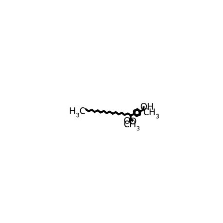 CCCCCCCCCCCCCCCCC(C(=O)OC)c1ccc(C(C)O)cc1